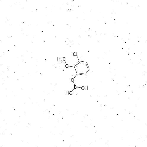 COc1c(Cl)cccc1OB(O)O